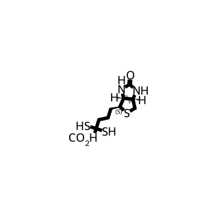 O=C1N[C@H]2[C@H](CS[C@H]2CCCC(S)(S)C(=O)O)N1